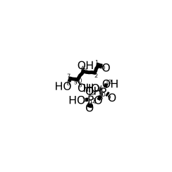 O=CC[C@H](O)[C@H](O)CO.O=P(O)(O)OP(=O)(O)O